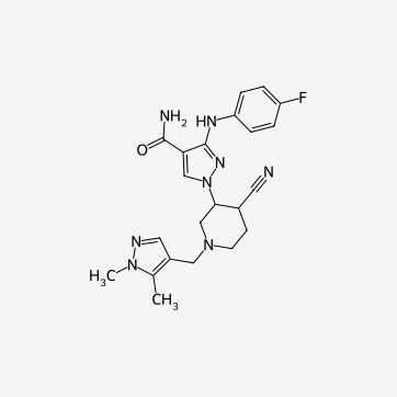 Cc1c(CN2CCC(C#N)C(n3cc(C(N)=O)c(Nc4ccc(F)cc4)n3)C2)cnn1C